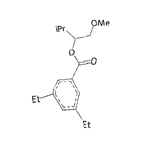 CCc1cc(CC)cc(C(=O)OC(COC)C(C)C)c1